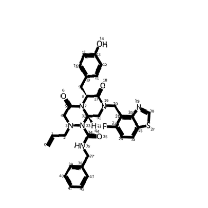 C=CCN1CC(=O)N2[C@@H](Cc3ccc(O)cc3)C(=O)N(Cc3c(F)ccc4scnc34)C[C@@H]2N1C(=O)NCc1ccccc1